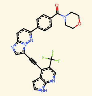 O=C(c1ccc(-c2ccc3ncc(C#Cc4c(C(F)(F)F)cnc5[nH]ccc45)n3n2)cc1)N1CCOCC1